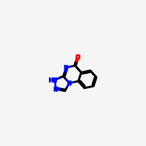 O=c1nc2[nH]ncn2c2ccccc12